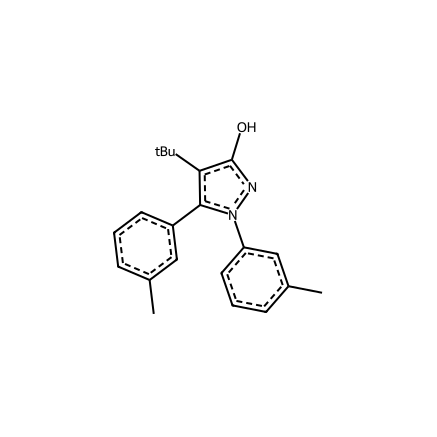 Cc1cccc(-c2c(C(C)(C)C)c(O)nn2-c2cccc(C)c2)c1